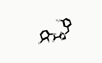 Cc1cccc(Cn2cnc(C(=O)Nc3cccc(Cl)c3F)n2)c1